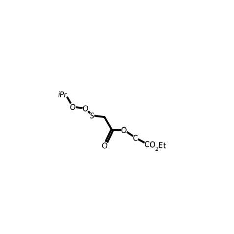 CCOC(=O)COC(=O)CSOOC(C)C